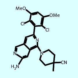 COc1cc(OC)c(Cl)c(-c2cc3cnc(N)cc3c(N3CCC(C)(C#N)CC3)n2)c1Cl